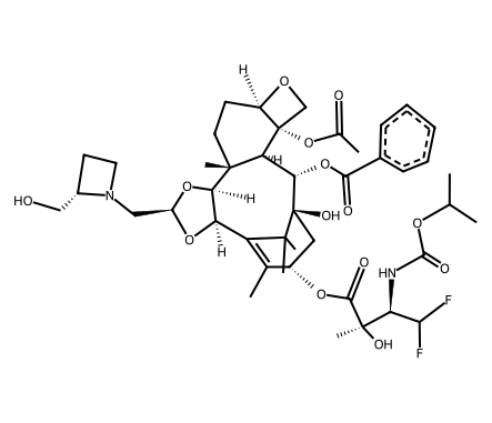 CC(=O)O[C@@]12CO[C@@H]1CC[C@@]1(C)[C@@H]3O[C@H](CN4CC[C@H]4CO)O[C@@H]3C3=C(C)[C@@H](OC(=O)[C@](C)(O)[C@@H](NC(=O)OC(C)C)C(F)F)C[C@@](O)([C@@H](OC(=O)c4ccccc4)[C@@H]12)C3(C)C